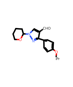 CC(C)Oc1ccc(-c2nn(C3CCCCO3)cc2C=O)cc1